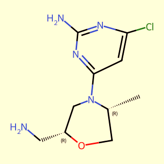 C[C@@H]1CO[C@H](CN)CN1c1cc(Cl)nc(N)n1